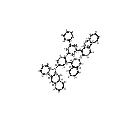 c1ccc(-c2nc(-c3ccc(-n4c5ccccc5c5cc6ccccc6cc54)cc3-c3cccc4ccccc34)nc(-c3cccc4c3sc3ccccc34)n2)cc1